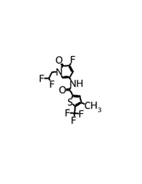 Cc1cc(C(=O)Nc2cc(F)c(=O)n(CC(F)F)c2)sc1C(F)(F)F